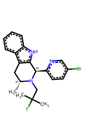 C[C@@H]1Cc2c([nH]c3ccccc23)[C@@H](c2ccc(Br)cn2)N1CC(C)(C)F